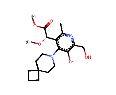 Cc1nc(CO)c(Br)c(N2CCC3(CCC3)CC2)c1[C@H](OC(C)(C)C)C(=O)OC(C)C